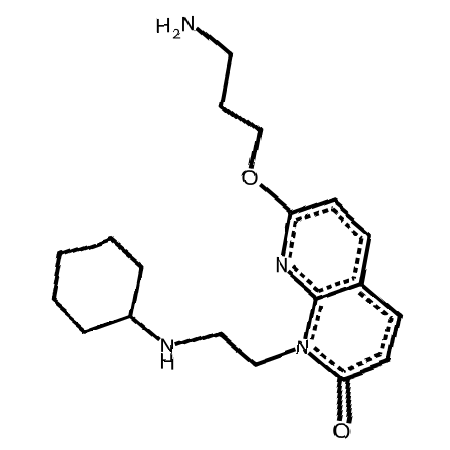 NCCCOc1ccc2ccc(=O)n(CCNC3CCCCC3)c2n1